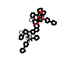 c1ccc(-c2ccc(-c3nc(-c4ccccc4)nc(-c4c(-c5ccc6ccc7cc(-c8ccc9c(c8)c(-c8cccc%10oc%11cccc(-c%12nc(-c%13ccccc%13)nc(-c%13ccc(-c%14ccccc%14)cc%13)n%12)c%11c8%10)cc8ccccc89)ccc7c6c5)ccc5oc6ccccc6c45)n3)cc2)cc1